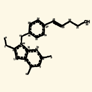 CCc1nc2c(C)cc(C)nc2n1Cc1ccc(C=CCCO)cc1